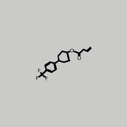 C=CCC(=O)OC1CCC(c2ccc(C(F)(F)F)cc2)CC1